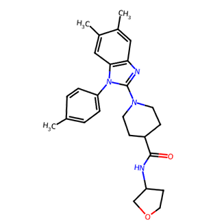 Cc1ccc(-n2c(N3CCC(C(=O)NC4CCOC4)CC3)nc3cc(C)c(C)cc32)cc1